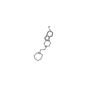 Fc1ccc2c(c1)cc1n2CCN(CCN2CCCCCC2)C1